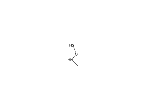 CNOS